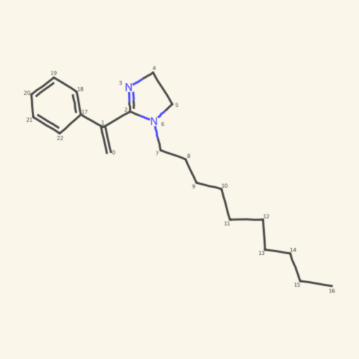 C=C(C1=NCCN1CCCCCCCCCC)c1ccccc1